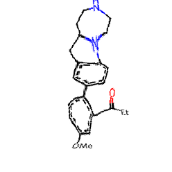 CCC(=O)c1cc(OC)ccc1-c1ccc2c(c1)CC1CCNCCN21